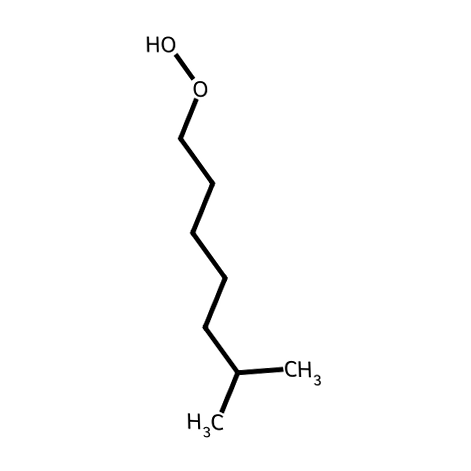 CC(C)CCCCCOO